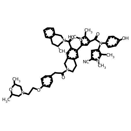 Cc1c(N(C(=O)c2cc(-c3cc4c(cc3C(=O)N3Cc5ccccc5C[C@H]3C)CN(C(=O)Cc3ccc(OCCN5CC(C)OC(C)C5)cc3)CC4)n(C)c2C)c2ccc(O)cc2)cc(C#N)n1C